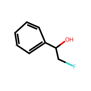 OC(CF)c1c[c]ccc1